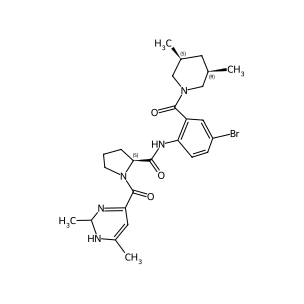 CC1=CC(C(=O)N2CCC[C@H]2C(=O)Nc2ccc(Br)cc2C(=O)N2C[C@H](C)C[C@H](C)C2)=NC(C)N1